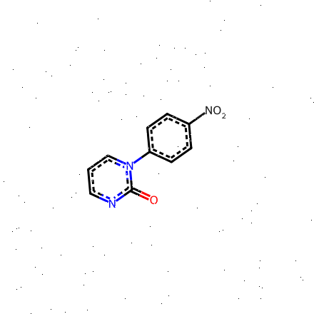 O=c1ncccn1-c1ccc([N+](=O)[O-])cc1